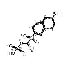 Cc1ccc2cc(S(=O)(=O)C(C)OS(=O)(=O)O)ccc2c1